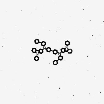 C1=CC(c2cccc(N(c3ccc(-c4ccc(N(c5cccc(-c6ccccc6)c5)c5ccc6c(c5)c5ccccc5n6-c5ccccc5)cc4)cc3)c3ccc4c(c3)c3c(n4-c4ccccc4)CCC=C3)c2)=CCC1